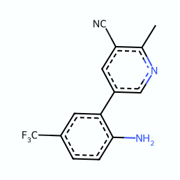 Cc1ncc(-c2cc(C(F)(F)F)ccc2N)cc1C#N